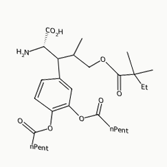 CCCCCC(=O)Oc1ccc(C(C(C)COC(=O)C(C)(C)CC)[C@H](N)C(=O)O)cc1OC(=O)CCCCC